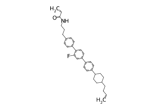 C=CCCC1CCC(c2ccc(-c3ccc(-c4ccc(CCCNC(=O)C=C)cc4)c(F)c3)cc2)CC1